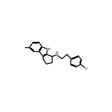 Cc1ccc2[nH]c3c(c2c1)CCCC3NCCc1ccc(Cl)cc1